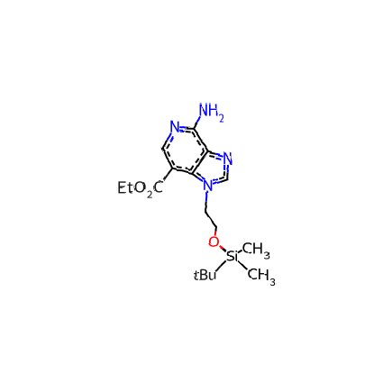 CCOC(=O)c1cnc(N)c2ncn(CCO[Si](C)(C)C(C)(C)C)c12